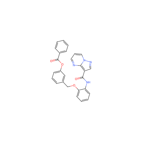 O=C(Oc1cccc(COc2ccccc2NC(=O)c2cnn3cccnc23)c1)c1ccccc1